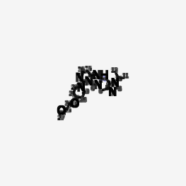 C=N/C(=C\c1c(C)ncn1C(C)C)Nc1ccnc(N2CCC(OCCOC)CC2)n1